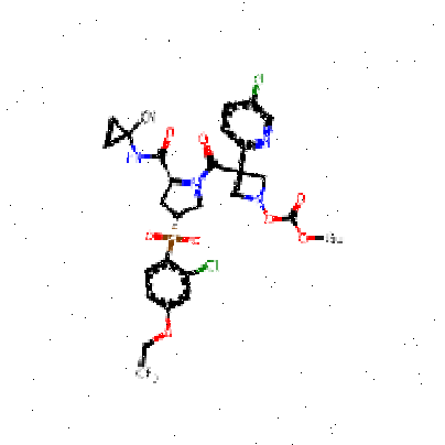 CC(C)(C)OC(=O)ON1CC(C(=O)N2C[C@H](S(=O)(=O)c3ccc(OCC(F)(F)F)cc3Cl)C[C@H]2C(=O)NC2(C#N)CC2)(c2ccc(Cl)cn2)C1